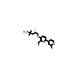 Cc1cc(-c2ccc(OC[C@@H](C)CC(C)(C)N)c(CF)n2)ccn1